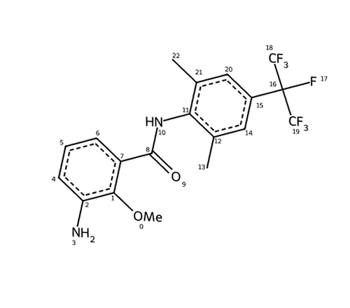 COc1c(N)cccc1C(=O)Nc1c(C)cc(C(F)(C(F)(F)F)C(F)(F)F)cc1C